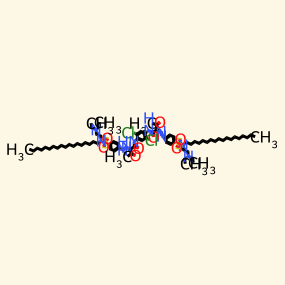 CCCCCCCCCCCCCCCCCCN(CCN(CC)CC)S(=O)(=O)c1ccc(N=NC(C(C)=O)C(=O)Nc2cc(Cl)c(NC(=O)C(N=Nc3ccc(S(=O)(=O)N(CCCCCCCCCCCCCCCCCC)CCN(CC)CC)cc3)C(C)=O)cc2Cl)cc1